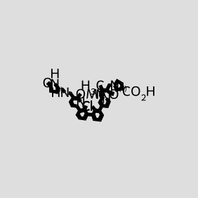 COc1nc(-c2cccc(-c3cccc(-c4ccn5c(=O)c(CN6CC[C@H](C(=O)O)C6)c(C)nc5c4)c3Cl)c2Cl)ccc1CNC[C@@H]1CCC(=O)N1